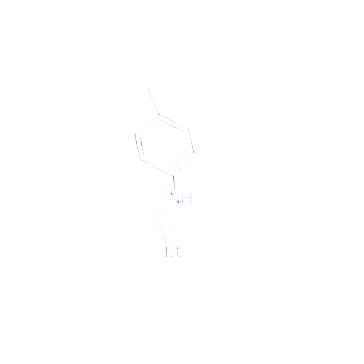 CCSNc1ccc(C)cc1